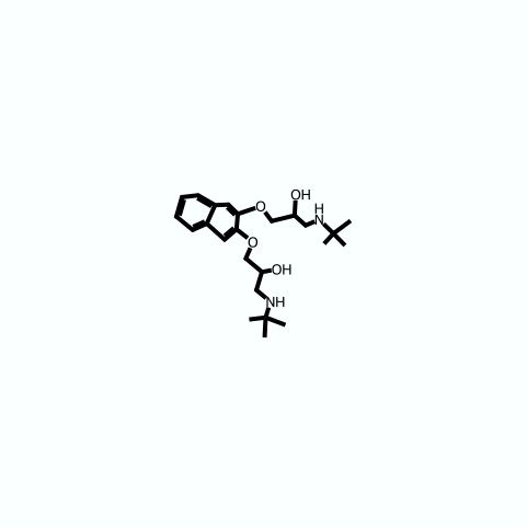 CC(C)(C)NCC(O)COc1cc2ccccc2cc1OCC(O)CNC(C)(C)C